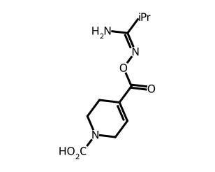 CC(C)/C(N)=N/OC(=O)C1=CCN(C(=O)O)CC1